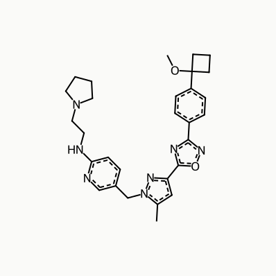 COC1(c2ccc(-c3noc(-c4cc(C)n(Cc5ccc(NCCN6CCCC6)nc5)n4)n3)cc2)CCC1